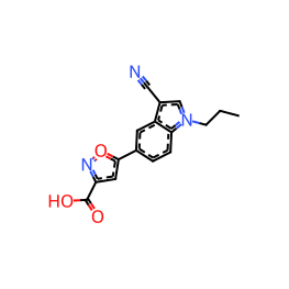 CCCn1cc(C#N)c2cc(-c3cc(C(=O)O)no3)ccc21